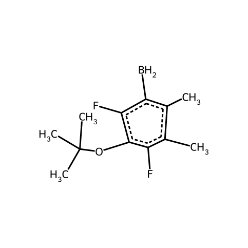 Bc1c(C)c(C)c(F)c(OC(C)(C)C)c1F